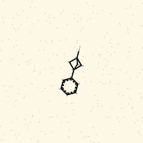 IC12CC(c3ccccc3)(C1)C2